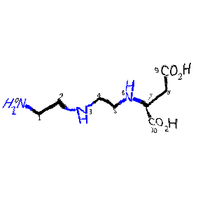 NCCNCCN[C@@H](CC(=O)O)C(=O)O